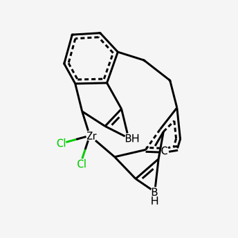 [Cl][Zr]1([Cl])[CH]2C3=C(B3)c3c(cccc32)CCc2cccc3c2C2=C(B2)[CH]31